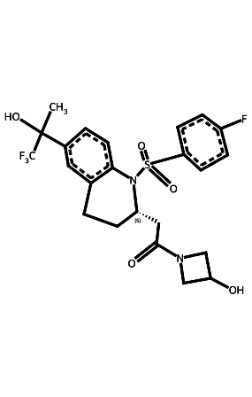 CC(O)(c1ccc2c(c1)CC[C@@H](CC(=O)N1CC(O)C1)N2S(=O)(=O)c1ccc(F)cc1)C(F)(F)F